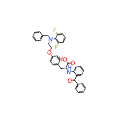 O=C(c1ccccc1)c1ccccc1N[C@@H](Cc1ccc(OCCN(Cc2ccccc2)c2c(F)cccc2F)cc1)C(=O)O